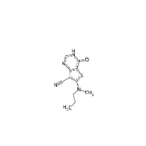 CCCN(C)c1sc2c(=O)[nH]cnc2c1C#N